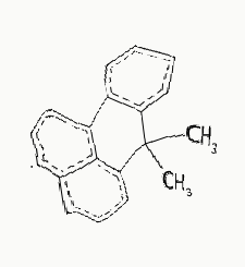 CC1(C)c2ccccc2-c2cc[c]c3cccc1c23